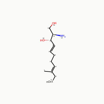 CCCCCCCCC/C(C)=C/CC/C=C/[C@H](O)[C@H](N)CO